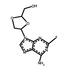 Nc1nc(F)nc2c1ncn2C1COC(CO)O1